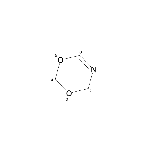 C1=NCOCO1